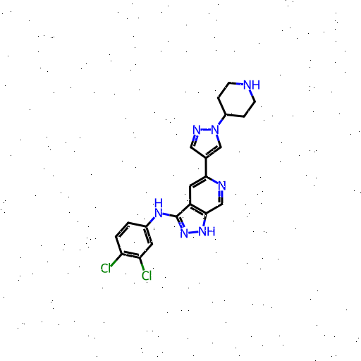 Clc1ccc(Nc2n[nH]c3cnc(-c4cnn(C5CCNCC5)c4)cc23)cc1Cl